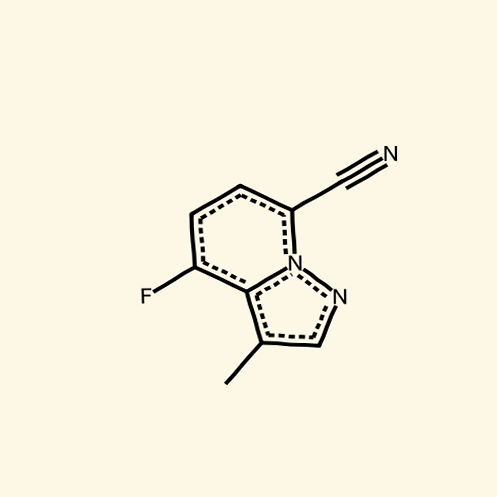 Cc1cnn2c(C#N)ccc(F)c12